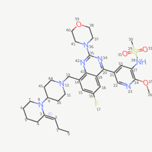 CC/C=C1\CCCCN1C1CCN(Cc2cc(F)cc3c(-c4cnc(OC)c(NS(C)(=O)=O)c4)nc(N4CCOCC4)nc23)CC1